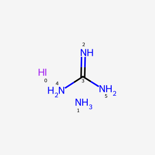 I.N.N=C(N)N